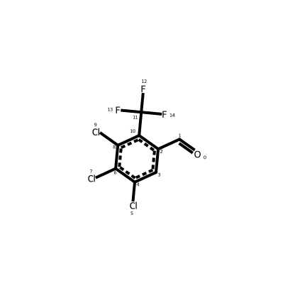 O=Cc1cc(Cl)c(Cl)c(Cl)c1C(F)(F)F